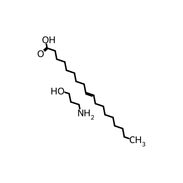 CCCCCCCCC=CCCCCCCCC(=O)O.NCCCO